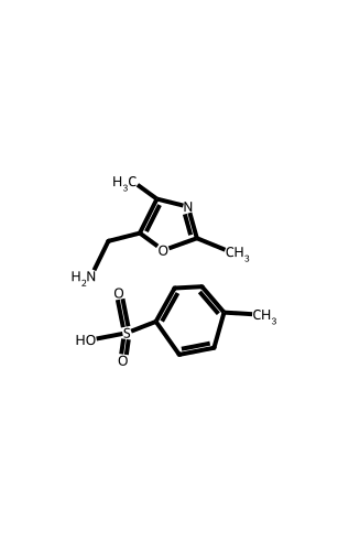 Cc1ccc(S(=O)(=O)O)cc1.Cc1nc(C)c(CN)o1